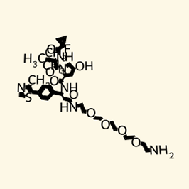 Cc1ncsc1-c1ccc([C@H](CC(=O)NCCOCCOCCOCCOCCN)NC(=O)[C@@H]2C[C@@H](O)CN2C(=O)C(NC(=O)C2(F)CC2)C(C)(C)C)cc1